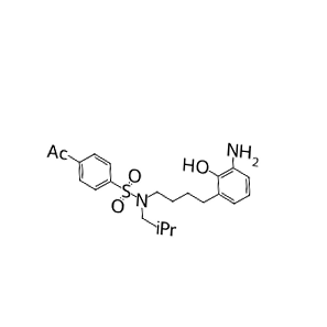 CC(=O)c1ccc(S(=O)(=O)N(CCCCc2cccc(N)c2O)CC(C)C)cc1